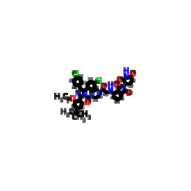 CCOc1cc(C(C)(C)C)ccc1C1=NC(c2ccc(Cl)cc2)C(c2ccc(Cl)cc2)N1C(=O)N1CCN(C(=O)CNc2cccc3c2C(=O)N(C2CCC(=O)NC2=O)C3=O)CC1